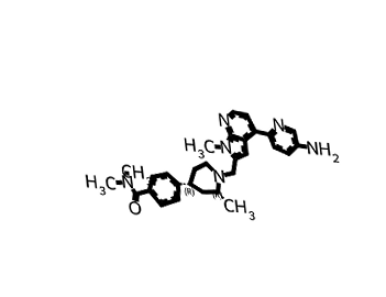 C[C@@H]1C[C@H](c2ccc(C(=O)N(C)C)cc2)CCN1Cc1cc2c(-c3ccc(N)cn3)ccnc2n1C